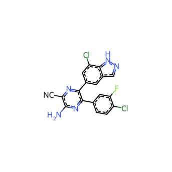 N#Cc1nc(-c2cc(Cl)c3[nH]ncc3c2)c(-c2ccc(Cl)c(F)c2)nc1N